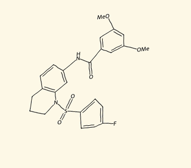 COc1cc(OC)cc(C(=O)Nc2ccc3c(c2)N(S(=O)(=O)c2ccc(F)cc2)CCC3)c1